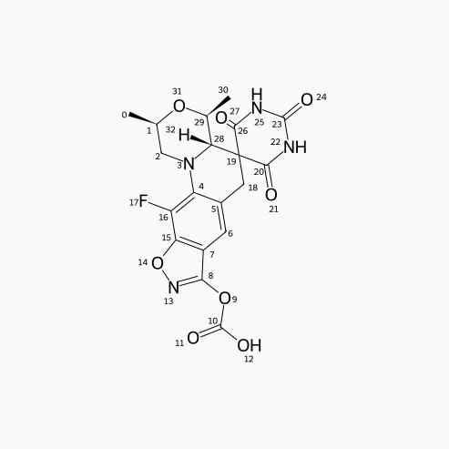 C[C@@H]1CN2c3c(cc4c(OC(=O)O)noc4c3F)CC3(C(=O)NC(=O)NC3=O)[C@H]2[C@H](C)O1